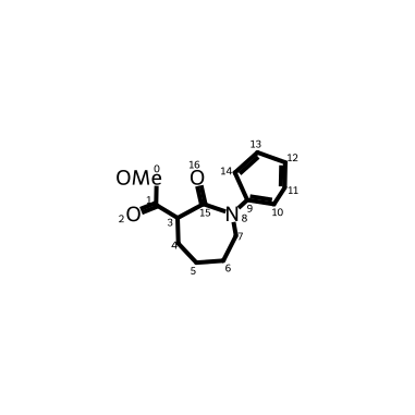 COC(=O)C1CCCCN(c2ccccc2)C1=O